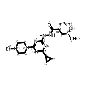 CCCCC[C@H](CN(O)C=O)C(=O)NNc1nc(C2CC2)nc(N2CCN(CC)CC2)n1